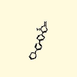 C1=C(c2ccc(-c3ccc(-c4ccccc4)cc3)cc2)NCNC1